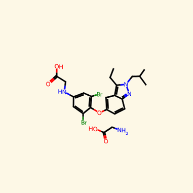 CCc1c2cc(Oc3c(Br)cc(NCC(=O)O)cc3Br)ccc2nn1CC(C)C.NCC(=O)O